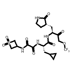 O=C(NC1CS(=O)(=O)C1)C(=O)N[C@@H](CC1CC1)C(=O)N[C@@H](C[C@@H]1CCNC1=O)C(=O)COC(F)(F)F